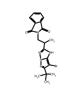 CC(CN1C(=O)c2ccccc2C1=O)c1nn2nc(C(C)(C)C)c(Br)c2[nH]1